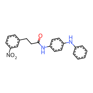 O=C(CCc1cccc([N+](=O)[O-])c1)Nc1ccc(Nc2ccccc2)cc1